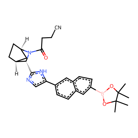 CC1(C)OB(c2ccc3cc(-c4cnc([C@@H]5[C@H]6CC[C@H](C6)N5C(=O)CCC#N)[nH]4)ccc3c2)OC1(C)C